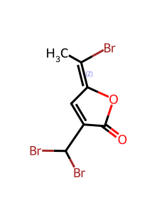 C/C(Br)=C1\C=C(C(Br)Br)C(=O)O1